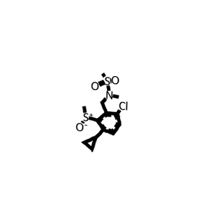 CN(Cc1c(Cl)ccc(C2[CH]C2)c1[S+](C)[O-])S(C)(=O)=O